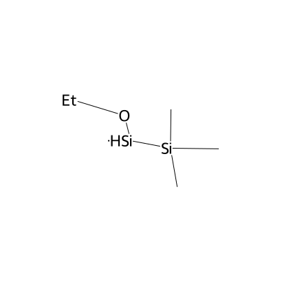 CCO[SiH][Si](C)(C)C